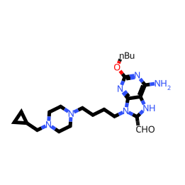 CCCCOc1nc(N)c2c(n1)N(CCCCN1CCN(CC3CC3)CC1)C(C=O)N2